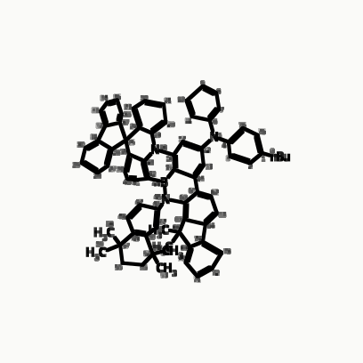 CCCCc1ccc(N(c2ccccc2)c2cc3c4c(c2)N2c5ccccc5C5(c6ccccc6-c6ccccc65)c5cccc(c52)B4N(c2ccc4c(c2)C(C)(C)CCC4(C)C)c2c-3ccc3c2C(C)(C)c2ccccc2-3)cc1